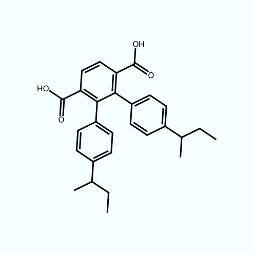 CCC(C)c1ccc(-c2c(C(=O)O)ccc(C(=O)O)c2-c2ccc(C(C)CC)cc2)cc1